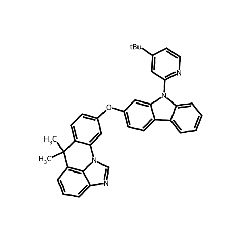 CC(C)(C)c1ccnc(-n2c3ccccc3c3ccc(Oc4ccc5c(c4)-n4cnc6cccc(c64)C5(C)C)cc32)c1